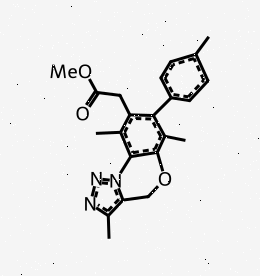 COC(=O)Cc1c(C)c2c(c(C)c1-c1ccc(C)cc1)OCc1c(C)nnn1-2